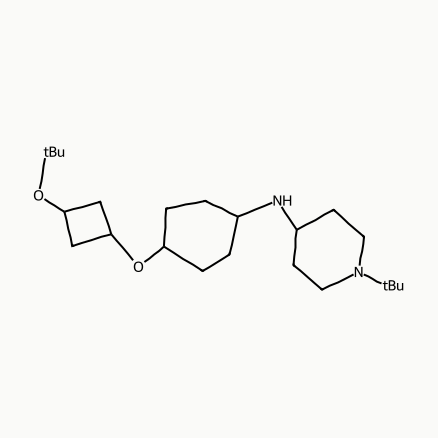 CC(C)(C)OC1CC(OC2CCC(NC3CCN(C(C)(C)C)CC3)CC2)C1